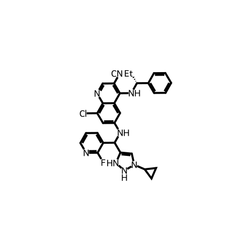 CC[C@@H](Nc1c(C#N)cnc2c(Cl)cc(NC(C3=CN(C4CC4)NN3)c3cccnc3F)cc12)c1ccccc1